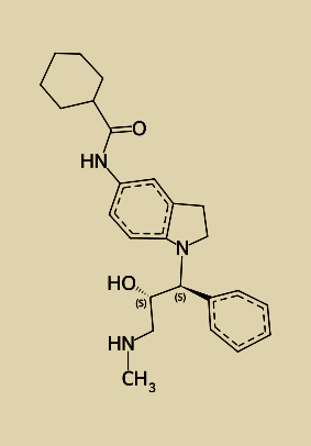 CNC[C@H](O)[C@H](c1ccccc1)N1CCc2cc(NC(=O)C3CCCCC3)ccc21